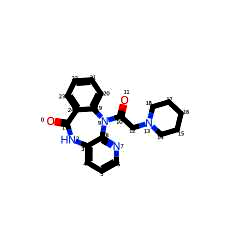 O=C1Nc2cccnc2N(C(=O)CN2CCCCC2)c2ccccc21